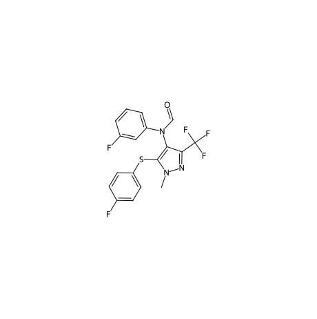 Cn1nc(C(F)(F)F)c(N(C=O)c2cccc(F)c2)c1Sc1ccc(F)cc1